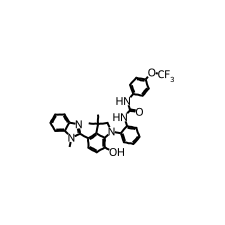 Cn1c(-c2ccc(O)c3c2C(C)(C)CN3c2ccccc2NC(=O)Nc2ccc(OC(F)(F)F)cc2)nc2ccccc21